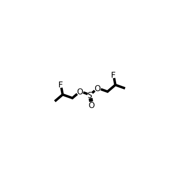 CC(F)COS(=O)OCC(C)F